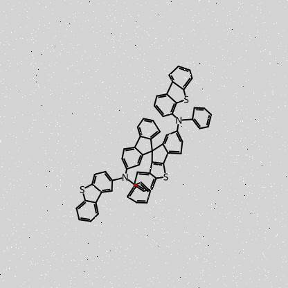 c1ccc(N(c2ccc3c(c2)C2(c4ccccc4-3)c3cc(N(c4ccccc4)c4cccc5c4sc4ccccc45)ccc3-c3sc4ccccc4c32)c2ccc3sc4ccccc4c3c2)cc1